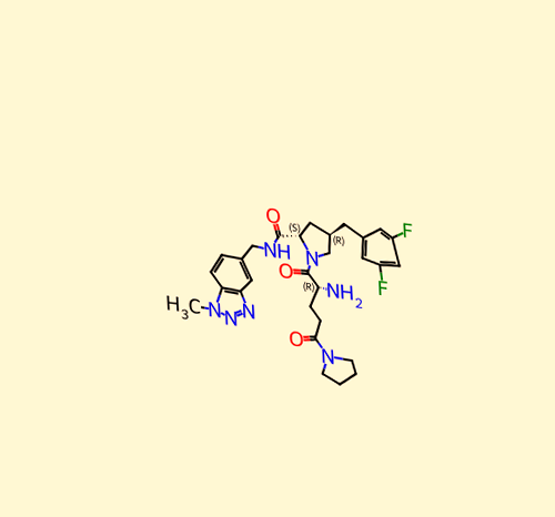 Cn1nnc2cc(CNC(=O)[C@@H]3C[C@@H](Cc4cc(F)cc(F)c4)CN3C(=O)[C@H](N)CCC(=O)N3CCCC3)ccc21